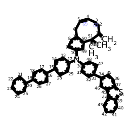 C=C1/C=C\C=C/Cc2ccc(N(c3ccc(-c4ccc(-c5ccccc5)cc4)cc3)c3ccc(-c4ccc5sc6ccccc6c5c4)cc3)cc2C1(C)C